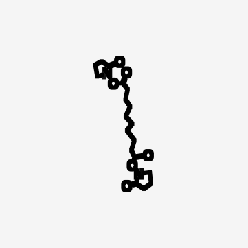 O=C(CCCCCCCCC(=O)ON1CCCC1=O)ON1CCCC1=O